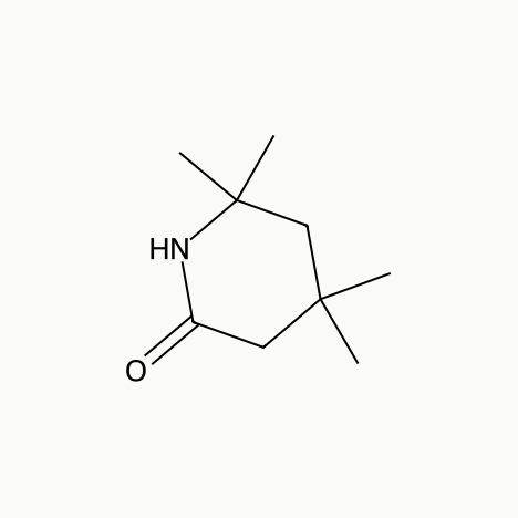 CC1(C)CC(=O)NC(C)(C)C1